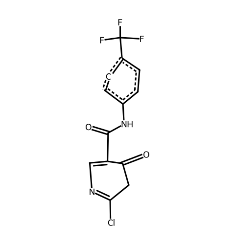 O=C1CC(Cl)=NC=C1C(=O)Nc1ccc(C(F)(F)F)cc1